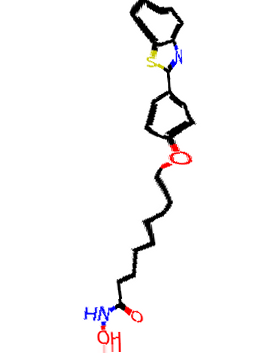 O=C(CCCCCCCOc1ccc(-c2nc3ccccc3s2)cc1)NO